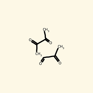 CC(=O)C(C)=O.CC(=O)C=O